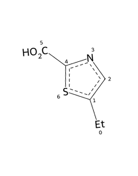 [CH2]Cc1cnc(C(=O)O)s1